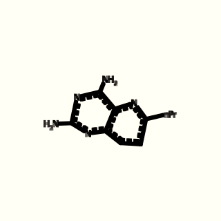 CCCc1ccc2nc(N)nc(N)c2n1